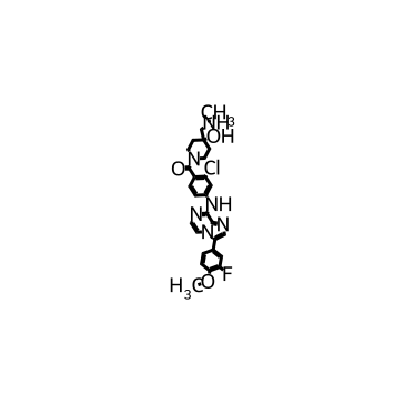 CNCC1(O)CCN(C(=O)c2ccc(Nc3nccn4c(-c5ccc(OC)c(F)c5)cnc34)cc2Cl)CC1